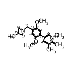 C=C1C(C)=CC(c2cc(OC)c(CN3CC(O)C3)cc2OC)=CN1C